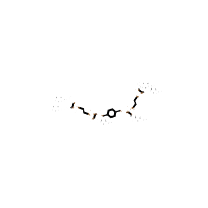 CSC1=C(SC)SC(=C/C=C2/SC(SC)=C(SCc3ccc(CSC4=C(SC)S/C(=C/C=C5SC(SC)=C(SC)S5)S4)cc3)S2)S1